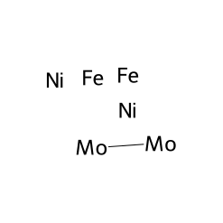 [Fe].[Fe].[Mo][Mo].[Ni].[Ni]